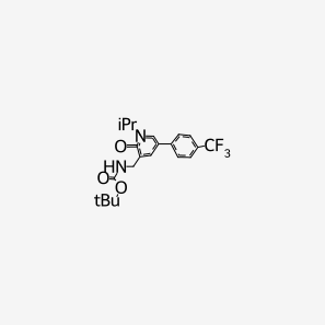 CC(C)n1cc(-c2ccc(C(F)(F)F)cc2)cc(CNC(=O)OC(C)(C)C)c1=O